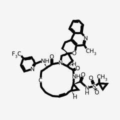 Cc1nc2ccccc2c2c1O[C@]1(CC2)C[C@H]2C(=O)N[C@]3(C(=O)NS(=O)(=O)C4(C)CC4)C[C@H]3/C=C\CCCCC[C@H](Nc3cc(C(F)(F)F)ccn3)C(=O)N2C1